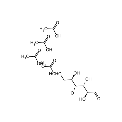 CC(=O)O.CC(=O)O.CC(=O)O.CC(=O)O.O=C[C@@H](O)[C@@H](O)[C@H](O)[C@H](O)CO